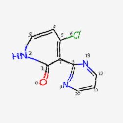 O=c1[nH]ccc(Cl)c1-c1ncccn1